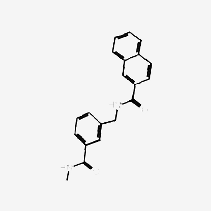 CNC(=O)c1cccc(CNC(=O)c2ccc3ccccc3c2)c1